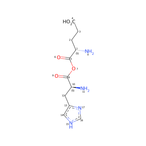 N[C@@H](CCC(=O)O)C(=O)OC(=O)[C@@H](N)Cc1c[nH]cn1